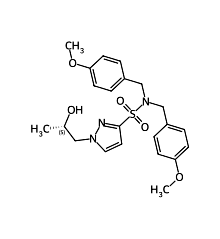 COc1ccc(CN(Cc2ccc(OC)cc2)S(=O)(=O)c2ccn(C[C@H](C)O)n2)cc1